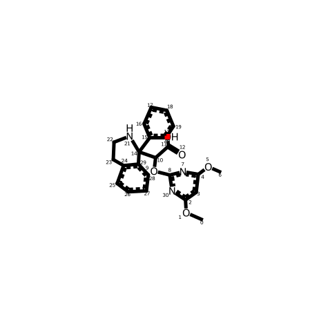 COc1cc(OC)nc(OC(C(=O)O)C2(c3ccccc3)NCCc3ccccc32)n1